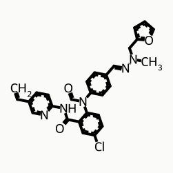 C=Cc1ccc(NC(=O)c2cc(Cl)ccc2N(C=O)c2ccc(C=NN(C)Cc3ccco3)cc2)nc1